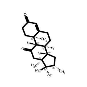 CC(=O)[C@@]1(O)[C@@H](C)C[C@H]2[C@@H]3CCC4=CC(=O)CC[C@]4(C)[C@H]3C(=O)C[C@@]21C